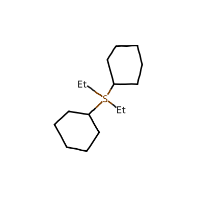 CCS(CC)(C1CCCCC1)C1CCCCC1